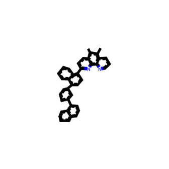 Cc1c(C)c2ccc(-c3ccc(-c4cccc(-c5cccc6ccccc56)c4)c4ccccc34)nc2c2ncccc12